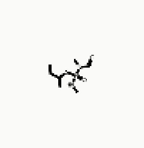 CCC(C)SP(=O)(NC)N(C)C=O